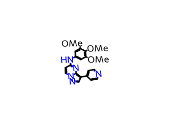 COc1cc(Nc2ccn3ncc(-c4ccncc4)c3n2)cc(OC)c1OC